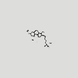 CC(=O)OC1CC2=CC[C@H]3[C@@H]4CC[C@H]([C@H](C)CCCC(OC(C)=O)(C(F)(F)F)C(F)(F)F)[C@@]4(C)CC[C@@H]3[C@@]2(C)[C@@H](OC(C)=O)C1